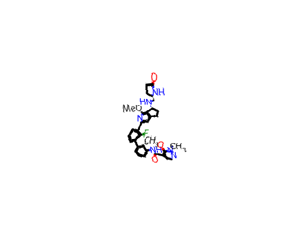 COc1nc(-c2cccc(-c3cccc(NC(=O)c4ccnn(C)c4=O)c3C)c2F)cc2c1[C@H](NC[C@@H]1CCC(=O)N1)CC2